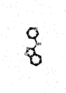 c1cncc(Nc2noc3ccccc23)c1